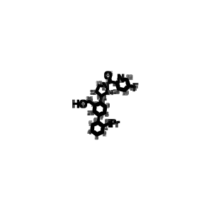 CC(C)c1ccccc1-c1ccc([C@H]2CCN(C(=O)c3ccc(F)cn3)C2)c(CO)c1